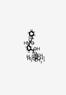 CC(C)(C)[Si](C)(C)OCC(O)c1cccc(NC(=O)OCc2ccccc2)c1